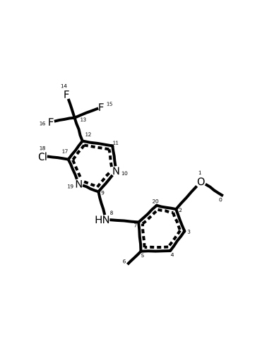 COc1ccc(C)c(Nc2ncc(C(F)(F)F)c(Cl)n2)c1